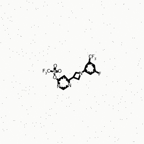 O=S(=O)(Oc1cc(C2CN(c3cc(F)cc(C(F)(F)F)c3)C2)ncn1)C(F)(F)F